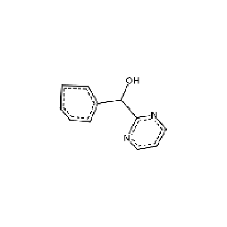 OC(c1ccccc1)c1ncccn1